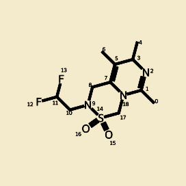 CC1=NC(C)C(C)=C2CN(CC(F)F)S(=O)(=O)CN12